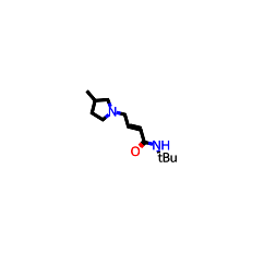 CC1CCN(C/C=C/C(=O)NC(C)(C)C)C1